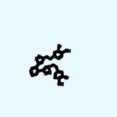 Oc1ccc(CCn2cc(-c3ccccc3-c3cn(CCc4ccc(O)c(Br)c4)nn3)nn2)cc1Br